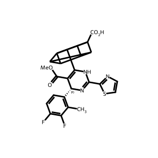 COC(=O)C1=C(C23C4C5C6C2C62C3C4C52C(=O)O)NC(c2nccs2)=N[C@@H]1c1ccc(F)c(F)c1C